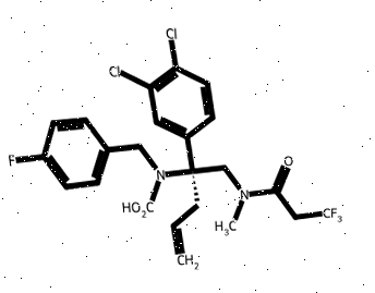 C=CC[C@@](CN(C)C(=O)CC(F)(F)F)(c1ccc(Cl)c(Cl)c1)N(Cc1ccc(F)cc1)C(=O)O